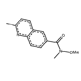 CON(C)C(=O)c1ccc2nc(C)ccc2c1